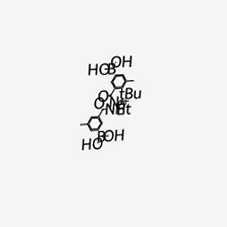 CC[C@@](C)(N(NC(=O)c1cc(C)cc(B(O)O)c1)C(=O)c1cc(C)cc(B(O)O)c1)C(C)(C)C